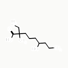 CCCC(O)CCCC(C)(CC)C(=O)O